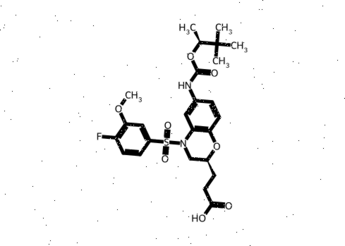 COc1cc(S(=O)(=O)N2C[C@H](CCC(=O)O)Oc3ccc(NC(=O)O[C@@H](C)C(C)(C)C)cc32)ccc1F